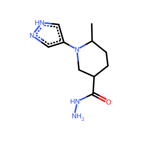 CC1CCC(C(=O)NN)CN1c1cn[nH]c1